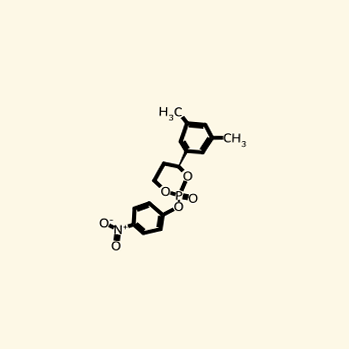 Cc1cc(C)cc([C@@H]2CCO[P@@](=O)(Oc3ccc([N+](=O)[O-])cc3)O2)c1